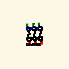 CCCCOc1ccc(CCc2ccc(F)nc2)cc1.CCCOc1ccc(CCc2ccc(F)nc2)cc1.CCOc1ccc(CCc2ccc(F)nc2)cc1